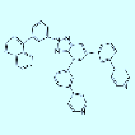 c1cc(-c2ccncc2)cc(-c2cc(-c3cccc(-c4ccncc4)c3)c3nn(-c4cccc(-c5cccc6ccccc56)c4)nc3c2)c1